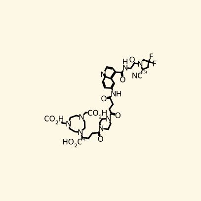 N#C[C@@H]1CC(F)(F)CN1C(=O)CNC(=O)c1ccnc2ccc(NC(=O)CCC(=O)N3CCN(C(=O)CC[C@H](C(=O)O)N4CCN(CC(=O)O)CCN(CC(=O)O)CC4)CC3)cc12